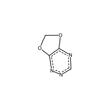 c1nnc2c(n1)OCO2